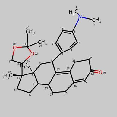 CN(C)c1ccc(C2C[C@@]3(C)C(CC[C@]3(C)C3COC(C)(C)O3)C3CCC4=CC(=O)CCC4=C23)cc1